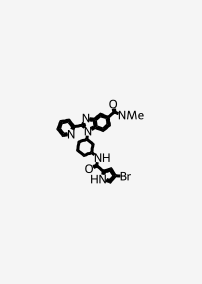 CNC(=O)c1ccc2c(c1)nc(-c1ccccn1)n2C1CCCC(NC(=O)c2cc(Br)c[nH]2)C1